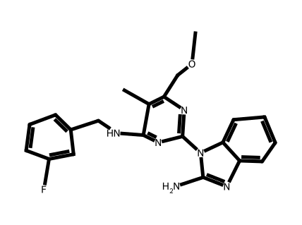 COCc1nc(-n2c(N)nc3ccccc32)nc(NCc2cccc(F)c2)c1C